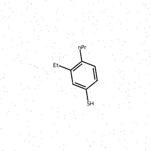 CCCc1ccc(S)cc1CC